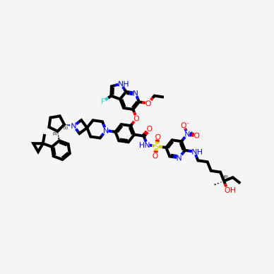 CCOc1nc2[nH]cc(F)c2cc1Oc1cc(N2CCC3(CC2)CN([C@H]2CCC[C@H]2c2ccccc2C2(C)CC2)C3)ccc1C(=O)NS(=O)(=O)c1cnc(NCCCC[C@](C)(O)CC)c([N+](=O)[O-])c1